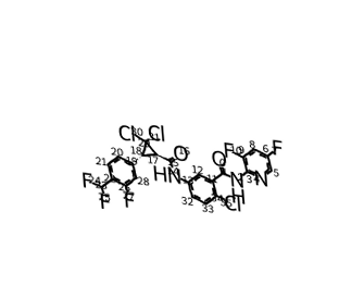 O=C(Nc1ncc(F)cc1F)c1cc(NC(=O)[C@H]2[C@H](c3ccc(C(F)F)c(F)c3)C2(Cl)Cl)ccc1Cl